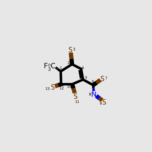 FC(F)(F)C1C(=S)C=C(C(=S)N=S)C(=S)C1=S